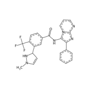 CN1C=CC(c2cc(C(=O)Nc3c(-c4ccccc4)nc4ncccn34)ccc2C(F)(F)F)N1